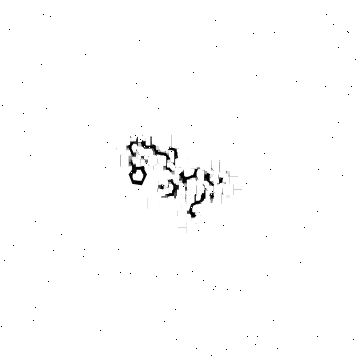 CC[C@H](C)C([C@@H](CC(=O)N1CCC[C@H]1[C@H](OC)[C@@H](C)C(=O)N[C@@H](Cc1ccccc1)C(N)=O)OC)N(C)C(=O)[C@@H](NC(=O)[C@H](C(C)C)N(C)CCCC(=O)O)C(C)C